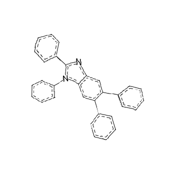 c1ccc(-c2cc3nc(-c4ccccc4)n(-c4ccccc4)c3cc2-c2ccccc2)cc1